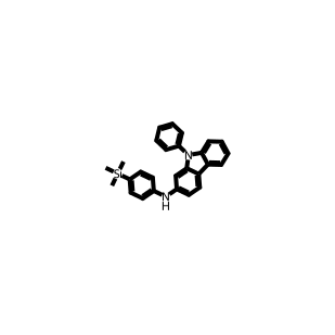 C[Si](C)(C)c1ccc(Nc2ccc3c4ccccc4n(-c4ccccc4)c3c2)cc1